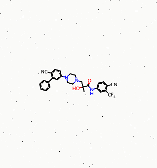 CC(O)(CN1CCN(c2ccc(C#N)c(-c3ccccc3)c2)CC1)C(=O)Nc1ccc(C#N)c(C(F)(F)F)c1